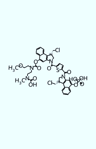 COCCN(CCN(C)C(=O)O)C(=O)Oc1cc2c(c3ccccc13)[C@H](CCl)CN2C(=O)c1ccc(C(=O)N2C[C@@H](CCl)c3c2cc(OP(=O)(O)O)c2ccccc32)s1